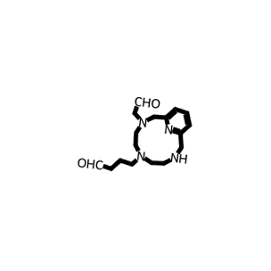 O=CCCCN1CCNCc2cccc(n2)CN(CC=O)CC1